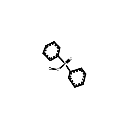 [O]OP(=O)(c1ccccc1)c1ccccc1